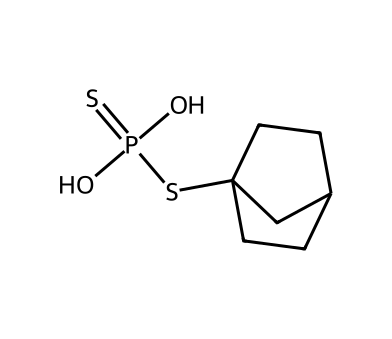 OP(O)(=S)SC12CCC(CC1)C2